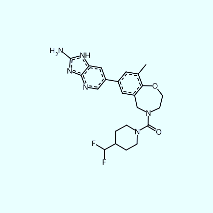 Cc1cc(-c2cnc3nc(N)[nH]c3c2)cc2c1OCCN(C(=O)N1CCC(C(F)F)CC1)C2